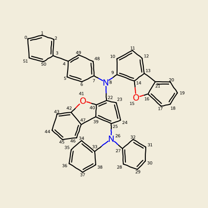 c1ccc(-c2ccc(N(c3cccc4c3oc3ccccc34)c3ccc(N(c4ccccc4)c4ccccc4)c4c3oc3ccccc34)cc2)cc1